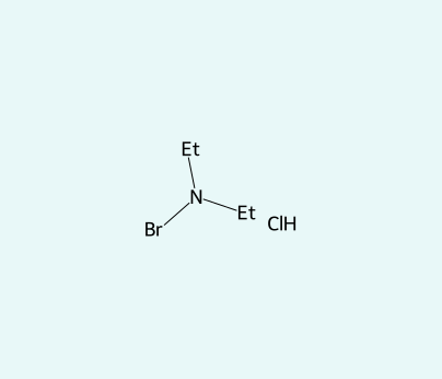 CCN(Br)CC.Cl